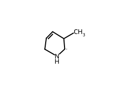 CC1[CH]NCC=C1